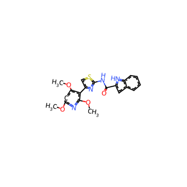 COc1cc(OC)c(-c2csc(NC(=O)c3cc4ccccc4[nH]3)n2)c(OC)n1